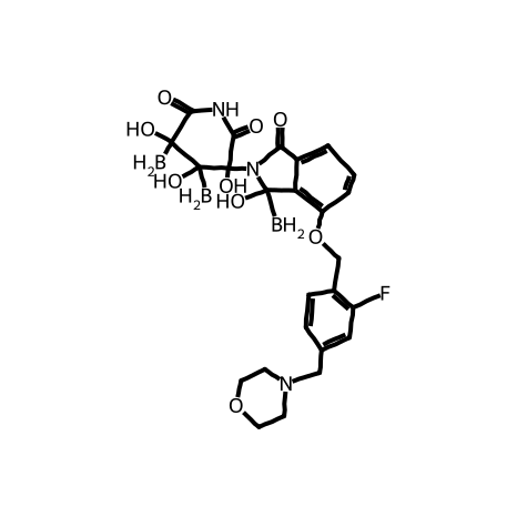 BC1(O)c2c(OCc3ccc(CN4CCOCC4)cc3F)cccc2C(=O)N1C1(O)C(=O)NC(=O)C(B)(O)C1(B)O